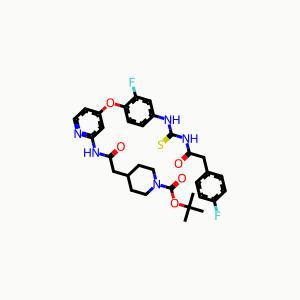 CC(C)(C)OC(=O)N1CCC(CC(=O)Nc2cc(Oc3ccc(NC(=S)NC(=O)Cc4ccc(F)cc4)cc3F)ccn2)CC1